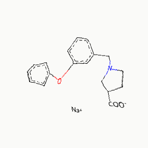 O=C([O-])C1CCN(Cc2cccc(Oc3ccccc3)c2)C1.[Na+]